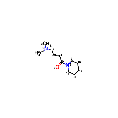 CN(C)CC=CC(=O)N1CCCCC1